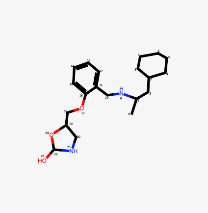 CC(CC1CCCCC1)NCc1ccccc1OCC1CNC(O)O1